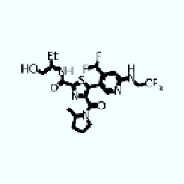 CCC(CO)NC(=O)c1nc(C(=O)N2CCCC2C)c(-c2cnc(NCC(F)(F)F)cc2C(F)F)s1